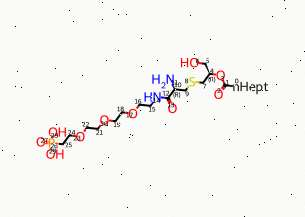 CCCCCCCC(=O)O[C@H](CO)CSC[C@H](N)C(=O)NCCOCCOCCOCCP(=O)(O)O